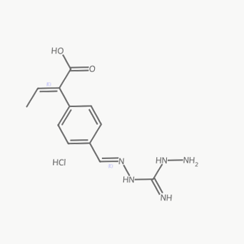 C/C=C(/C(=O)O)c1ccc(/C=N/NC(=N)NN)cc1.Cl